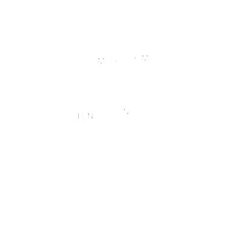 COc1cc2c(cc1OC)C1CC(N)C(c3cccc(C4CC4)c3)CN1CC2